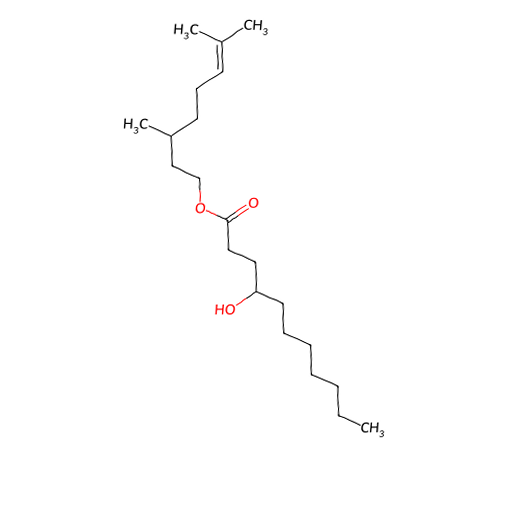 CCCCCCCC(O)CCC(=O)OCCC(C)CCC=C(C)C